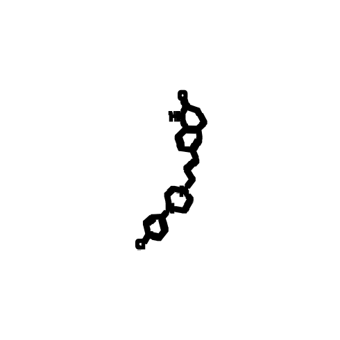 O=C1CCc2cc(C=CCN3CCN(c4ccc(Cl)cc4)CC3)ccc2N1